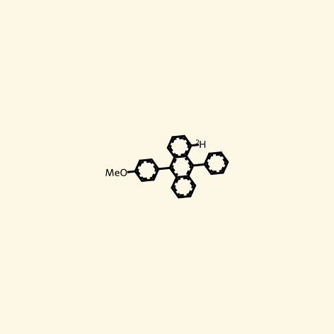 [2H]c1cccc2c(-c3ccc(OC)cc3)c3ccccc3c(-c3ccccc3)c12